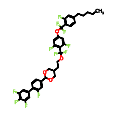 CCCCCc1ccc(C(F)(F)Oc2cc(F)c(C(F)(F)OCCC3COC(c4ccc(-c5cc(F)c(F)c(F)c5)c(F)c4)OC3)c(F)c2)c(F)c1